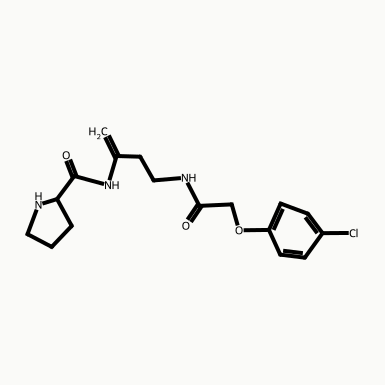 C=C(CCNC(=O)COc1ccc(Cl)cc1)NC(=O)C1CCCN1